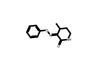 CC1CCNC(=O)/C1=N/Oc1ccccc1